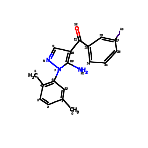 Cc1ccc(C)c(-n2ncc(C(=O)c3cccc(I)c3)c2N)c1